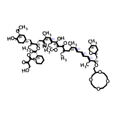 CO[C@@H]1C[C@H](C[C@@H](C)[C@H](CC(=O)[C@H](C)/C=C(\C)[C@@H](O)[C@@H](OC)C(=O)[C@H](C)C[C@H](C)/C=C/C=C/C=C(\C)[C@H](C[C@@H]2CC[C@@H](C)CO2)OCC2COCCOCCOCCO2)OC(=O)[C@@H]2CCCCN2C(=O)C(=O)CO)CC[C@H]1O